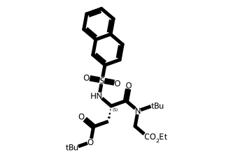 CCOC(=O)CN(C(=O)[C@H](CC(=O)OC(C)(C)C)NS(=O)(=O)c1ccc2ccccc2c1)C(C)(C)C